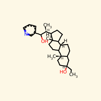 CC[C@]1(O)CC[C@@]2(C)C(CC[C@H]3C4CCC([C@H](C)C(O)c5cccnc5)C4(C)CCC32)C1